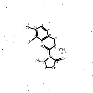 CC(C)[C@H]1COC(=O)N1C(=O)[C@@H](C)Cc1ccc(Cl)c(F)c1